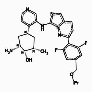 CC(C)OCc1cc(F)c(-c2ccc3cnc(Nc4cnccc4[C@H]4C[C@@H](N)[C@@H](O)[C@@H](C)C4)n3n2)c(F)c1